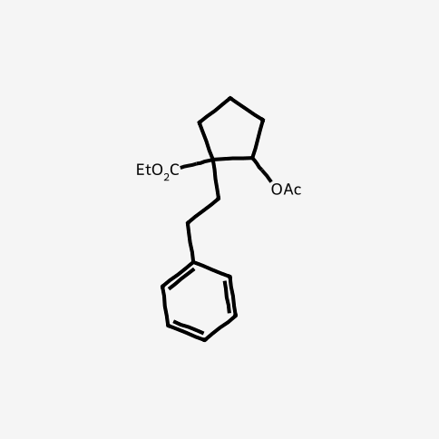 CCOC(=O)C1(CCc2ccccc2)CCCC1OC(C)=O